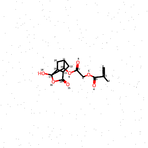 C=C(C)C(=O)OCC(=O)OC1C2CC3C(=O)OC1(O)C3C2